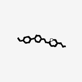 C=CC1CCC(C2CCC(CCC3CCC(CCC)CO3)CC2)CC1